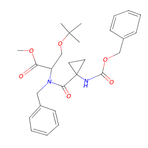 COC(=O)C(COC(C)(C)C)N(Cc1ccccc1)C(=O)C1(NC(=O)OCc2ccccc2)CC1